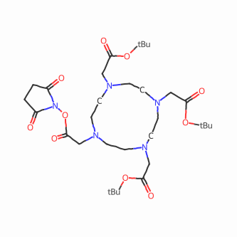 CC(C)(C)OC(=O)CN1CCN(CC(=O)ON2C(=O)CCC2=O)CCN(CC(=O)OC(C)(C)C)CCN(CC(=O)OC(C)(C)C)CC1